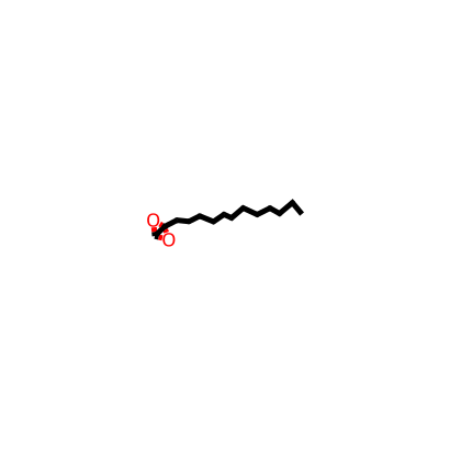 CCCCCCCCCCCCC12OC1O2